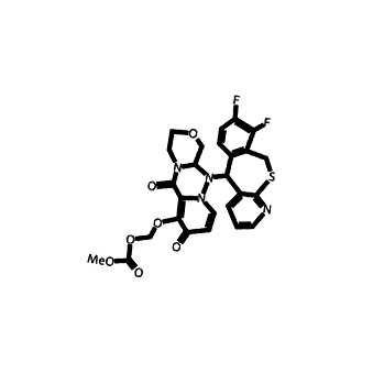 COC(=O)OCOc1c2n(ccc1=O)N(C1c3cccnc3SCc3c1ccc(F)c3F)C1COCCN1C2=O